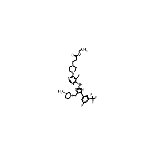 CCOC(=O)CCN1CCN(c2ncnc(Nc3nc(-c4cc(F)cc(C(F)(F)F)c4)c(CN4CC[C@H](C)C4)s3)c2F)CC1